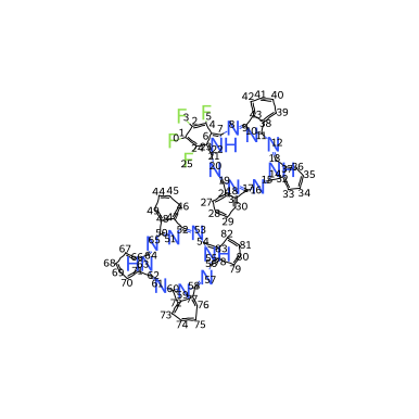 Fc1c(F)c(F)c2c3nc4nc(nc5[nH]c(nc6nc(nc([nH]3)c2c1F)-c1ccccc1-6)c1ccccc51)-c1ccccc1-4.c1ccc2c(c1)-c1nc-2nc2[nH]c(nc3nc(nc4[nH]c(n1)c1ccccc41)-c1ccccc1-3)c1ccccc21